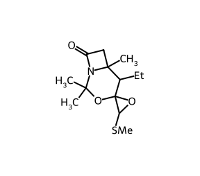 CCC1C2(OC2SC)OC(C)(C)N2C(=O)CC12C